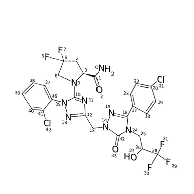 NC(=O)[C@@H]1CC(F)(F)CN1c1nc(Cn2nc(-c3ccc(Cl)cc3)n(CC(O)C(F)(F)F)c2=O)nn1-c1ccccc1Cl